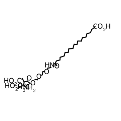 CC(OCCOCCOCCNC(=O)CCCCCCCCCCCCCCCCCCC(=O)O)C(=O)C(CC(=O)O)[C@H](N)C(=O)O